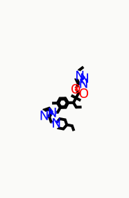 CCC1CCN(Cc2nccn2Cc2cc(C(CC)C(C)(C)C(=O)Oc3cn(CC)nn3)ccc2C)CC1